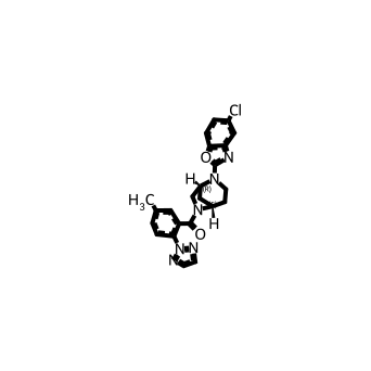 Cc1ccc(-n2nccn2)c(C(=O)N2C[C@H]3C[C@@H]2CCN3c2nc3cc(Cl)ccc3o2)c1